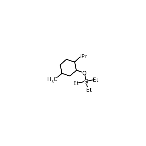 CC[Si](CC)(CC)OC1CC(C)CCC1C(C)C